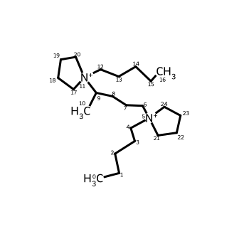 CCCCC[N+]1(CCCC(C)[N+]2(CCCCC)CCCC2)CCCC1